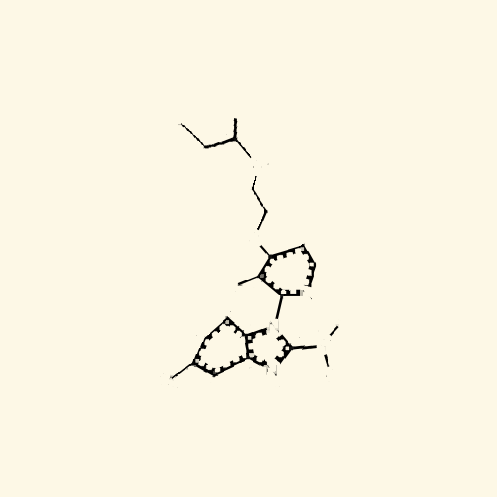 CCC(C)OCCOc1ccnc(-n2c([S+](C)[O-])nc3cc(Cl)ccc32)c1C